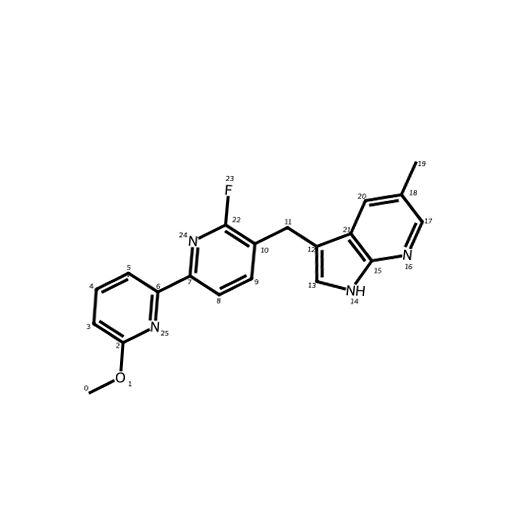 COc1cc[c]c(-c2ccc(Cc3c[nH]c4ncc(C)cc34)c(F)n2)n1